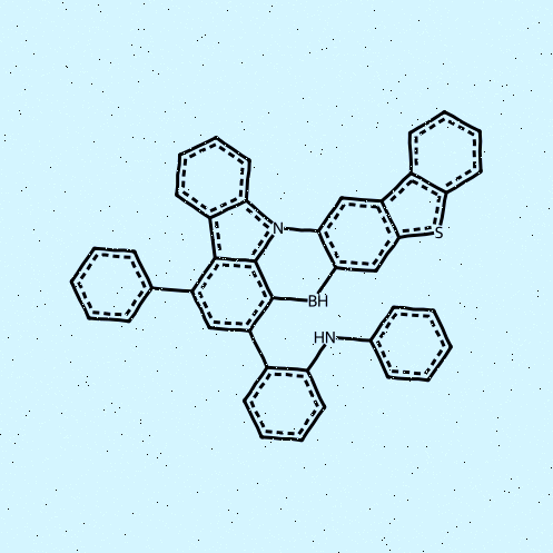 B1c2cc3sc4ccccc4c3cc2-n2c3ccccc3c3c(-c4ccccc4)cc(-c4ccccc4Nc4ccccc4)c1c32